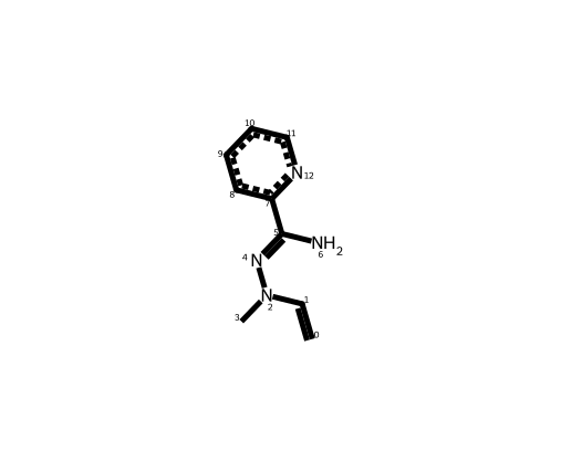 C=CN(C)/N=C(\N)c1ccccn1